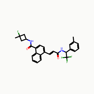 Cc1cccc(C(NC(=O)/C=C/c2ccc(C(=O)NC3CC(C)(F)C3)c3ccccc23)C(F)(F)F)c1